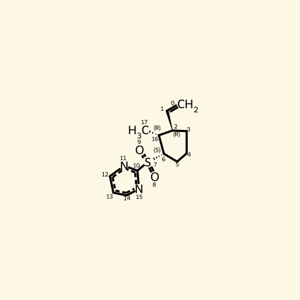 C=C[C@H]1CCC[C@H](S(=O)(=O)c2ncccn2)[C@@H]1C